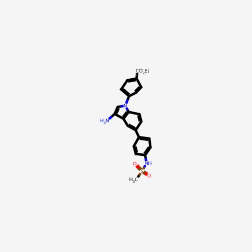 CCOC(=O)c1ccc(-n2cc(N)c3cc(-c4ccc(NS(C)(=O)=O)cc4)ccc32)cc1